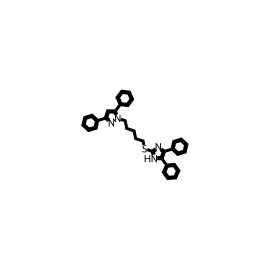 c1ccc(-c2cc(-c3ccccc3)n(CCCCCSc3nc(-c4ccccc4)c(-c4ccccc4)[nH]3)n2)cc1